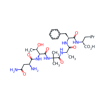 CC(C)C[C@H](NC(=O)[C@H](Cc1ccccc1)NC(=O)[C@H](C)NC(=O)C(C)(C)NC(=O)[C@@H](NC(=O)[C@@H](N)CC(N)=O)[C@@H](C)O)C(=O)O